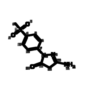 CS(=O)(=O)c1ccc(N2N=C(N)CC2=O)cc1